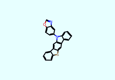 c1ccc2c(c1)sc1cc3c4ccccc4n(-c4ccc5ocnc5c4)c3cc12